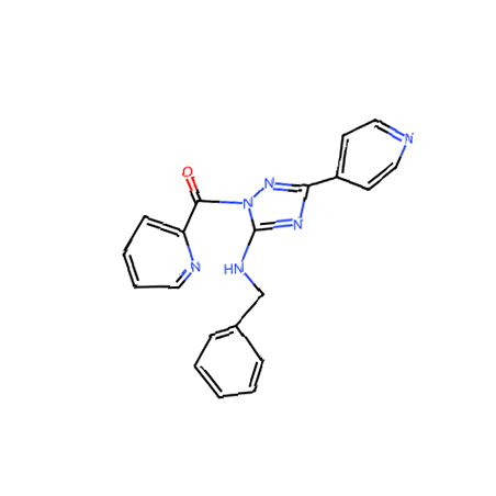 O=C(c1ccccn1)n1nc(-c2ccncc2)nc1NCc1ccccc1